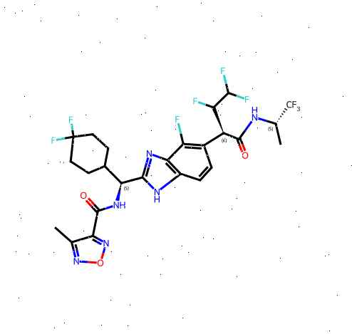 Cc1nonc1C(=O)N[C@H](c1nc2c(F)c([C@H](C(=O)N[C@@H](C)C(F)(F)F)C(F)C(F)F)ccc2[nH]1)C1CCC(F)(F)CC1